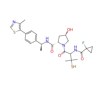 Cc1ncsc1-c1ccc([C@H](C)NC(=O)[C@@H]2C[C@@H](O)CN2C(=O)C(NC(=O)C2(F)CC2)C(C)(C)S)cc1